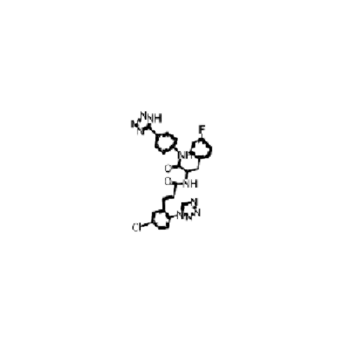 O=C(C=Cc1cc(Cl)ccc1-n1cnnn1)NC(Cc1ccc(F)cc1)C(=O)Nc1ccc(-c2nnn[nH]2)cc1